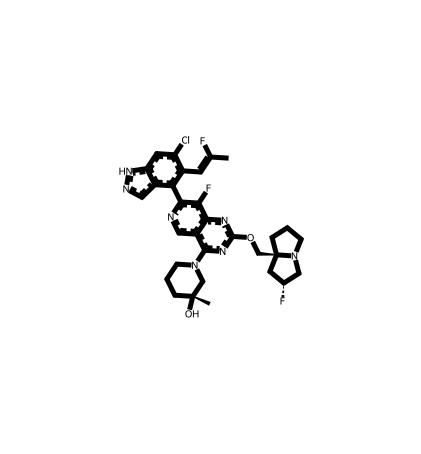 C/C(F)=C/c1c(Cl)cc2[nH]ncc2c1-c1ncc2c(N3CCC[C@@](C)(O)C3)nc(OC[C@@]34CCCN3C[C@H](F)C4)nc2c1F